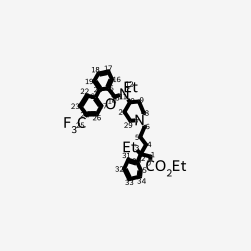 CCOC(=O)CC(CC)(CCCN1CCC(N(CC)C(=O)c2ccccc2-c2ccc(C(F)(F)F)cc2)CC1)c1ccccc1